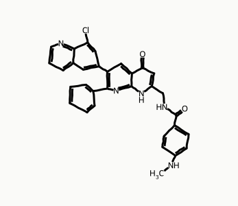 CNc1ccc(C(=O)NCc2cc(=O)c3cc(-c4cc(Cl)c5ncccc5c4)c(-c4ccccc4)nc3[nH]2)cc1